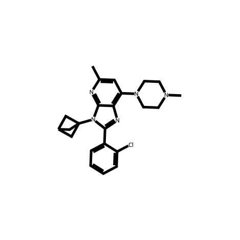 Cc1cc(N2CCN(C)CC2)c2nc(-c3ccccc3Cl)n(C34CC(C3)C4)c2n1